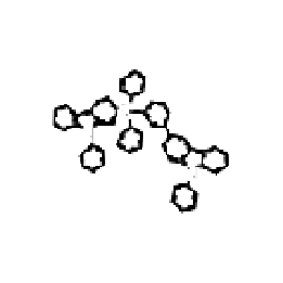 c1ccc(-n2c3ccccc3c3cc(-c4cccc([Si](c5ccccc5)(c5ccccc5)c5ccc6c7ccccc7n(-c7ccccc7)c6c5)c4)ccc32)cc1